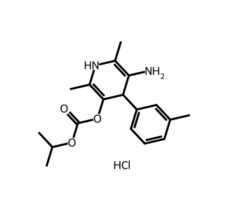 CC1=C(N)C(c2cccc(C)c2)C(OC(=O)OC(C)C)=C(C)N1.Cl